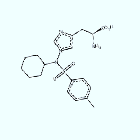 Cc1ccc(S(=O)(=O)N(C2CCCCC2)n2cnc(C[C@H](N)C(=O)O)c2)cc1